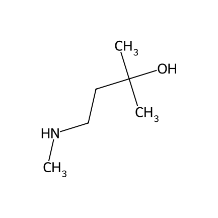 CNCCC(C)(C)O